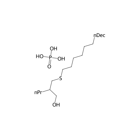 CCCCCCCCCCCCCCCCSCC(CO)CCC.O=P(O)(O)O